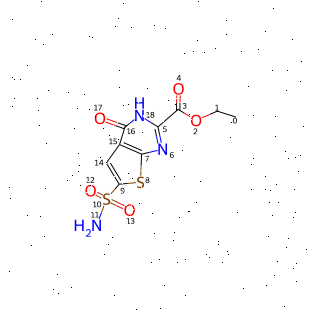 CCOC(=O)c1nc2sc(S(N)(=O)=O)cc2c(=O)[nH]1